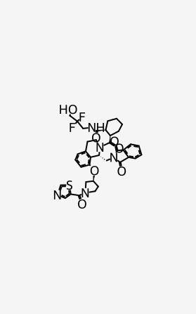 O=C(NCC(F)(F)CO)[C@H]1CCCC[C@H]1C(=O)N1CCc2cccc(O[C@H]3CCN(C(=O)c4cncs4)C3)c2[C@H]1CN1C(=O)c2ccccc2C1=O